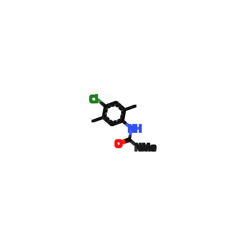 CNC(=O)Nc1cc(C)c(Cl)cc1C